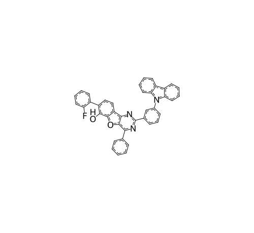 Oc1c(-c2ccccc2F)ccc2c1oc1c(-c3ccccc3)nc(-c3cccc(-n4c5ccccc5c5ccccc54)c3)nc12